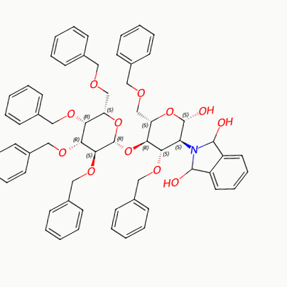 OC1c2ccccc2C(O)N1[C@H]1[C@H](OCc2ccccc2)[C@@H](O[C@H]2O[C@@H](COCc3ccccc3)[C@@H](OCc3ccccc3)[C@@H](OCc3ccccc3)[C@@H]2OCc2ccccc2)[C@H](COCc2ccccc2)O[C@@H]1O